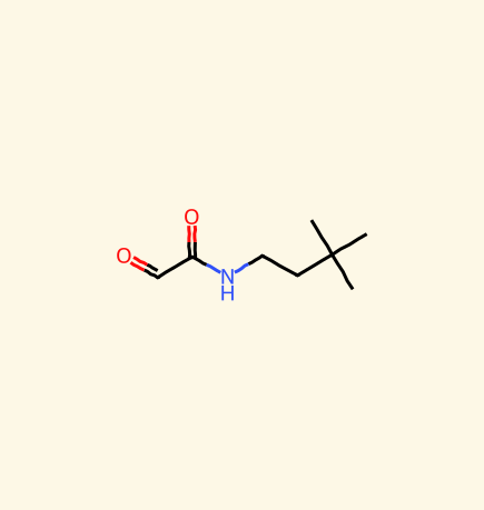 CC(C)(C)CCNC(=O)C=O